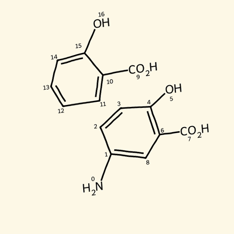 Nc1ccc(O)c(C(=O)O)c1.O=C(O)c1ccccc1O